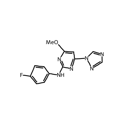 COc1cc(-n2cncn2)nc(Nc2ccc(F)cc2)n1